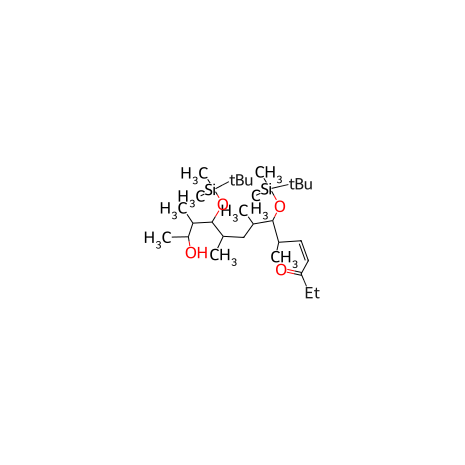 CCC(=O)/C=C\C(C)C(O[Si](C)(C)C(C)(C)C)C(C)CC(C)C(O[Si](C)(C)C(C)(C)C)C(C)C(C)O